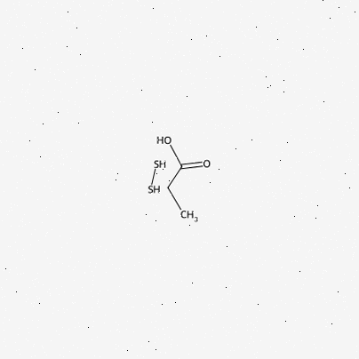 CCC(=O)O.SS